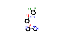 O=C(Nc1ccc(F)c(Cl)c1)c1cccc(Oc2ncccc2-c2ccncn2)c1